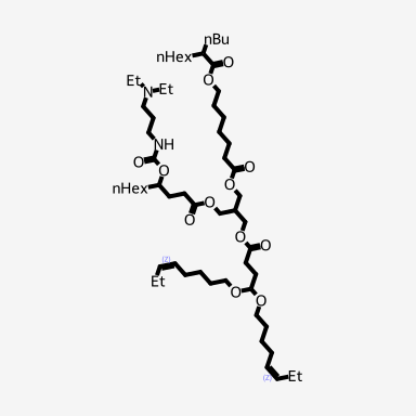 CC/C=C\CCCCOC(CCC(=O)OCC(COC(=O)CCCCCCOC(=O)C(CCCC)CCCCCC)COC(=O)CCC(CCCCCC)OC(=O)NCCCN(CC)CC)OCCCC/C=C\CC